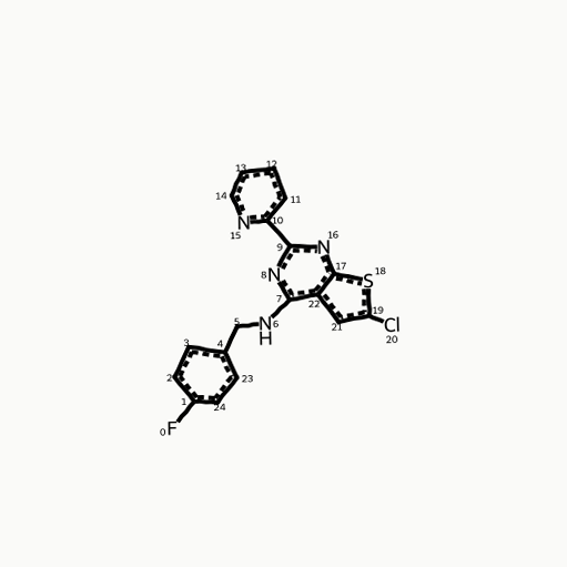 Fc1ccc(CNc2nc(-c3ccccn3)nc3sc(Cl)cc23)cc1